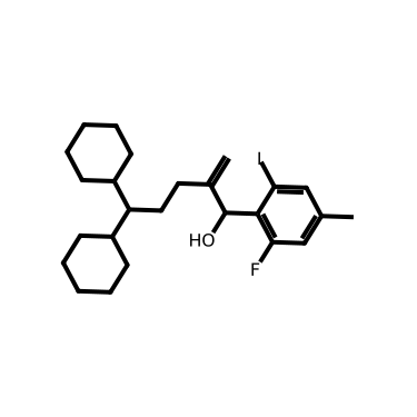 C=C(CCC(C1CCCCC1)C1CCCCC1)C(O)c1c(F)cc(C)cc1I